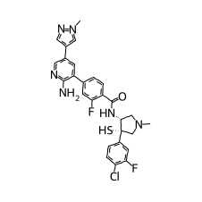 CN1C[C@@H](NC(=O)c2ccc(-c3cc(-c4cnn(C)c4)cnc3N)cc2F)[C@](S)(c2ccc(Cl)c(F)c2)C1